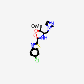 COC(=O)C(Cn1ccnc1)NC(=O)c1nc2ccc(Cl)cc2s1